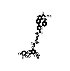 CNC(=O)c1cnc2ccc(-c3ccc(C(=O)NCCCCNC(=O)COc4cc(OS(C)(=O)=O)cc5c4CN(C4CCC(=O)NC4=O)C5=O)nc3)cc2c1Nc1ccccc1